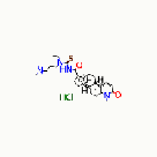 CCN(CCCN(C)C)C(=S)NC(=O)C1CC[C@H]2[C@@H]3CCC4N(C)C(=O)C=C[C@]4(C)[C@@H]3CC[C@]12C.Cl